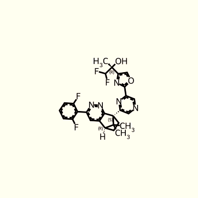 CC1(C)[C@H]2CC[C@]1(c1cncc(-c3nc([C@@](C)(O)C(F)F)co3)n1)c1nnc(-c3c(F)cccc3F)cc12